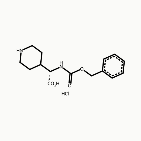 Cl.O=C(N[C@H](C(=O)O)C1CCNCC1)OCc1ccccc1